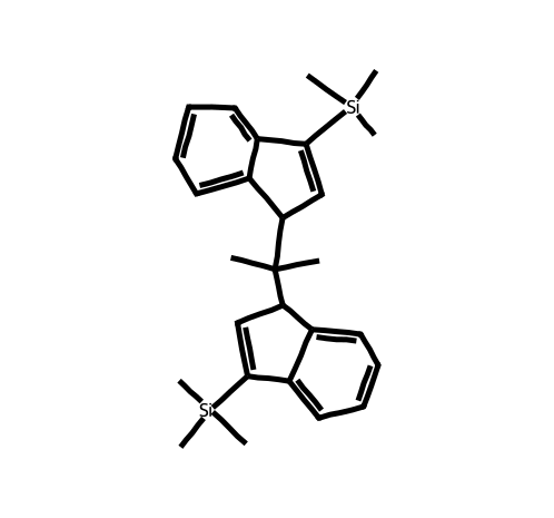 CC(C)(C1C=C([Si](C)(C)C)c2ccccc21)C1C=C([Si](C)(C)C)c2ccccc21